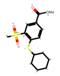 COC(=O)c1ccc(SC2CCCCC2)c(S(C)(=O)=O)c1